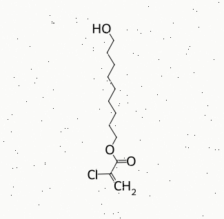 C=C(Cl)C(=O)OCCCCCCCCCO